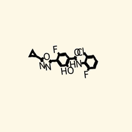 O=C(Nc1c(F)cccc1Cl)c1cc(F)c(-c2nnc(C3CC3)o2)cc1O